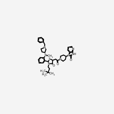 CN(c1ccccc1C1SC(CC(=O)N2CCC(n3c(=O)[nH]c4ncccc43)CC2)C(=O)N1CCC(C)(C)C)[C@@H]1CCN(Cc2ccccc2)C1